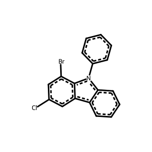 Clc1cc(Br)c2c(c1)c1ccccc1n2-c1ccccc1